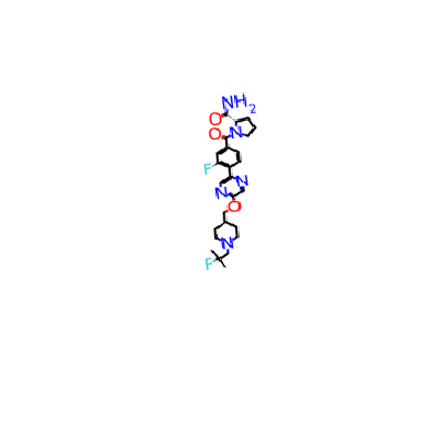 CC(C)(F)CN1CCC(COc2cnc(-c3ccc(C(=O)N4CCC[C@H]4C(N)=O)cc3F)cn2)CC1